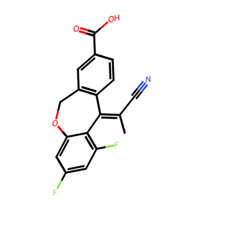 CC(C#N)=C1c2ccc(C(=O)O)cc2COc2cc(F)cc(F)c21